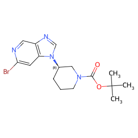 CC(C)(C)OC(=O)N1CCC[C@@H](n2cnc3cnc(Br)cc32)C1